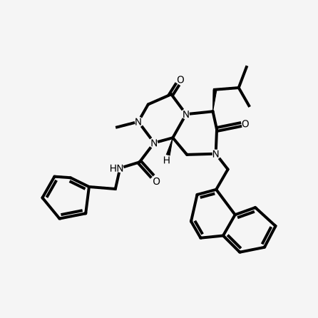 CC(C)C[C@H]1C(=O)N(Cc2cccc3ccccc23)C[C@H]2N1C(=O)CN(C)N2C(=O)NCc1ccccc1